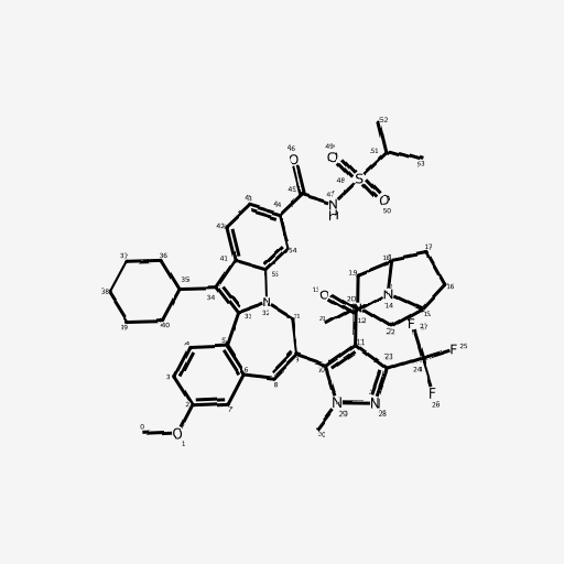 COc1ccc2c(c1)C=C(c1c(C(=O)N3C4CCC3CN(C)C4)c(C(F)(F)F)nn1C)Cn1c-2c(C2CCCCC2)c2ccc(C(=O)NS(=O)(=O)C(C)C)cc21